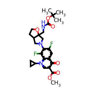 COC(=O)c1cn(C2CC2)c2c(F)c(N3CC4CCOC4(CNC(=O)OC(C)(C)C)C3)c(F)cc2c1=O